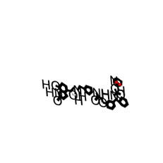 O=C(COc1cccc([C@@H](NC(=O)O[C@H]2CN3CCC2CC3)c2ccccc2)c1)Nc1ccc(CNC[C@H](O)c2ccc(O)c3[nH]c(=O)ccc23)cc1